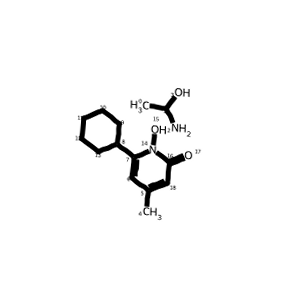 CC(N)O.Cc1cc(C2CCCCC2)n(O)c(=O)c1